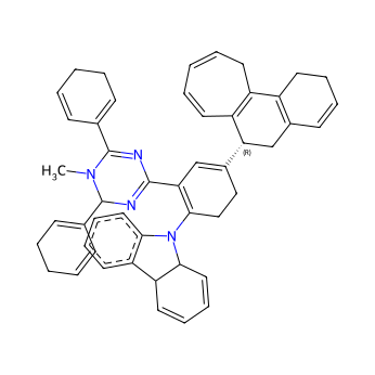 CN1C(C2=CCCC=C2)=NC(C2=C(N3c4ccccc4C4C=CC=CC43)CCC([C@H]3CC4=C(CCC=C4)C4=C3C=CC=CC4)=C2)=NC1C1=CCCC=C1